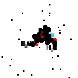 C=Cc1ccc(Oc2ccc(C3(c4cccc(F)c4)c4ccccc4-c4ccc(N(c5ccc6c(c5)C5(c7ccccc7-6)c6ccccc6-c6ccc(N(c7ccc8c(c7)C(c7ccc(Oc9ccc(C=C)cc9)cc7)(c7cccc(F)c7)c7ccccc7-8)c7cccc8c7oc7ccccc78)cc65)c5cccc6c5oc5ccccc56)cc43)cc2)cc1